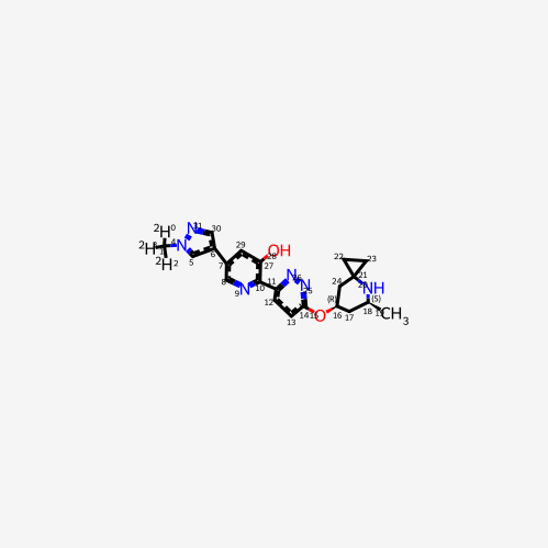 [2H]C([2H])([2H])n1cc(-c2cnc(-c3ccc(O[C@@H]4C[C@H](C)NC5(CC5)C4)nn3)c(O)c2)cn1